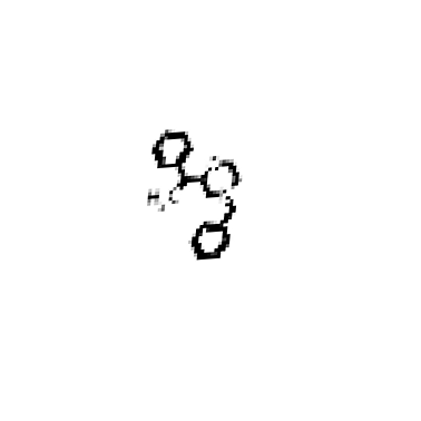 C=C(c1ccccc1)C1CN(Cc2ccccc2)CCO1